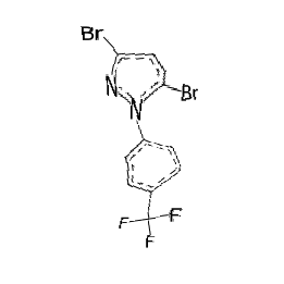 FC(F)(F)c1ccc(-n2nc(Br)cc2Br)cc1